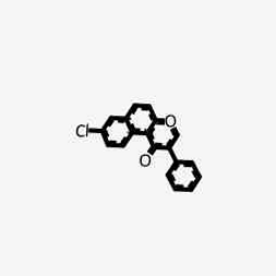 O=c1c(-c2ccccc2)coc2ccc3cc(Cl)ccc3c12